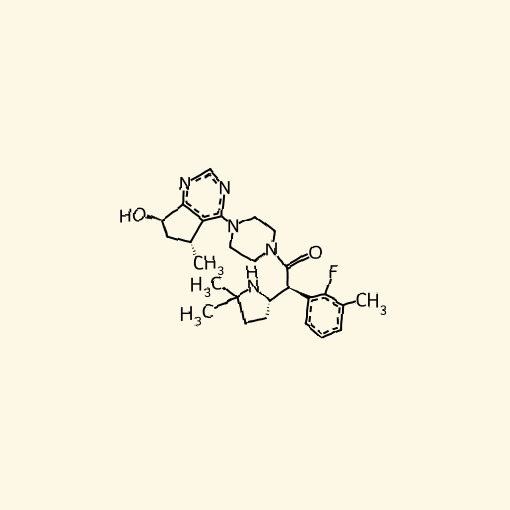 Cc1cccc([C@H](C(=O)N2CCN(c3ncnc4c3[C@H](C)C[C@H]4O)CC2)[C@@H]2CCC(C)(C)N2)c1F